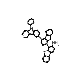 Nc1ccc2c(c1-c1ccc(-c3ccc4c(c3)c3ccccc3n4-c3ccccc3)c3c1Cc1ccccc1-3)Cc1ccccc1-2